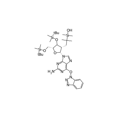 CC(C)(C[C@H]1C(O[Si](C)(C)C(C)(C)C)[C@@H](CO[Si](C)(C)C(C)(C)C)O[C@H]1n1cnc2c(On3nnc4ccccc43)nc(N)nc21)[Si](C)(C)O